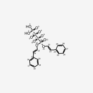 O=P(O)(O)S(=O)(=O)S(=O)(=O)P(=O)(OC=Cc1ccccc1)OC=Cc1ccccc1